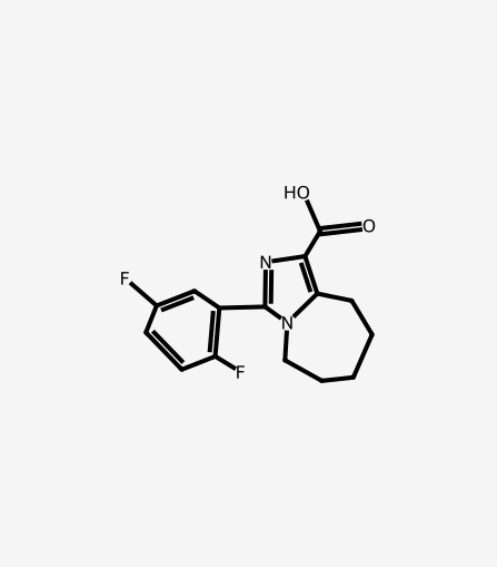 O=C(O)c1nc(-c2cc(F)ccc2F)n2c1CCCCC2